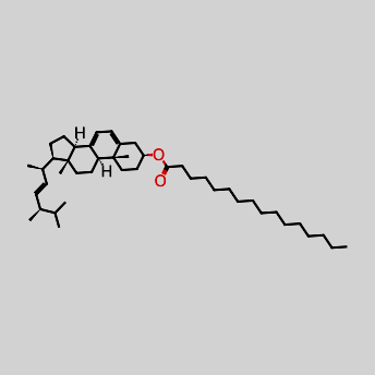 CCCCCCCCCCCCCCCC(=O)O[C@H]1CC[C@@]2(C)C(=CC=C3[C@@H]4CC[C@H]([C@H](C)/C=C/[C@H](C)C(C)C)[C@@]4(C)CC[C@@H]32)C1